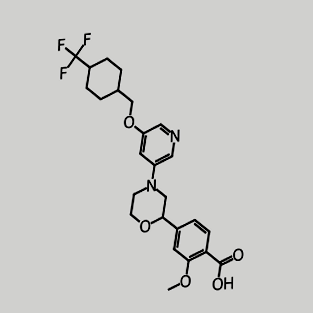 COc1cc(C2CN(c3cncc(OCC4CCC(C(F)(F)F)CC4)c3)CCO2)ccc1C(=O)O